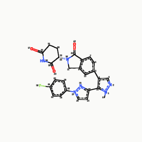 Cn1ncc(-c2ccc3c(c2)CN([C@H]2CCC(=O)NC2=O)C3=O)c1-c1ccn(-c2ccc(F)cc2)n1